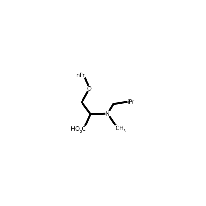 CCCOCC(C(=O)O)N(C)CC(C)C